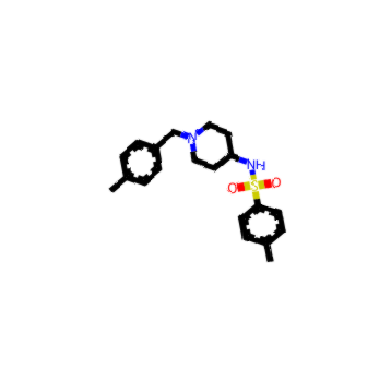 Cc1ccc(CN2CCC(NS(=O)(=O)c3ccc(C)cc3)CC2)cc1